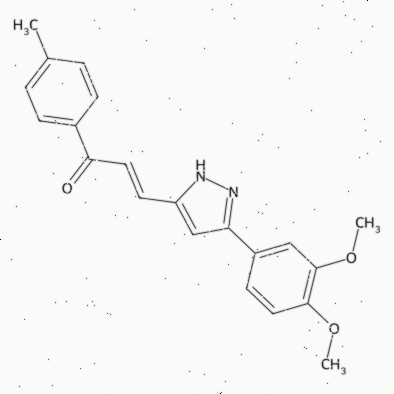 COc1ccc(-c2cc(C=CC(=O)c3ccc(C)cc3)[nH]n2)cc1OC